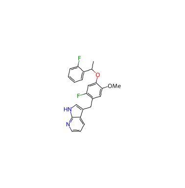 COc1cc(Cc2c[nH]c3ncccc23)c(F)cc1OC(C)c1ccccc1F